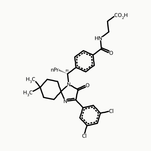 CCC[C@H](c1ccc(C(=O)NCCC(=O)O)cc1)N1C(=O)C(c2cc(Cl)cc(Cl)c2)=NC12CCC(C)(C)CC2